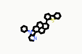 c1ccc(-n2c3cccnc3c3c4ccc5ccc(-c6cccc7c6sc6ccccc67)c6ccc(cc32)c4c56)cc1